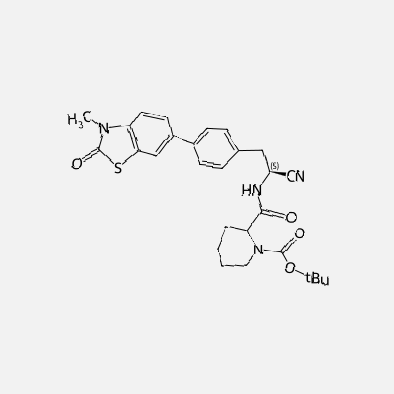 Cn1c(=O)sc2cc(-c3ccc(C[C@@H](C#N)NC(=O)C4CCCCN4C(=O)OC(C)(C)C)cc3)ccc21